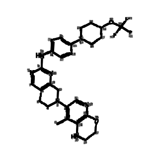 Cc1c(N2CCc3cnc(Nc4ccc(N5CCC(OC(F)(F)F)CC5)cc4)nc3C2)cnc2c1NCCO2